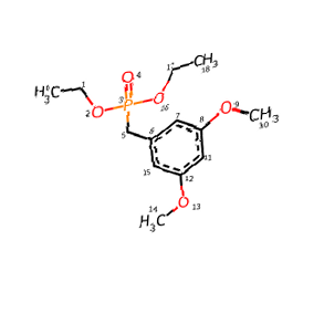 CCOP(=O)(Cc1cc(OC)cc(OC)c1)OCC